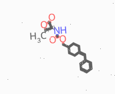 C[C@@H]1OC(=O)[C@@H]1NC(=O)OCC1CCC(=Cc2ccccc2)CC1